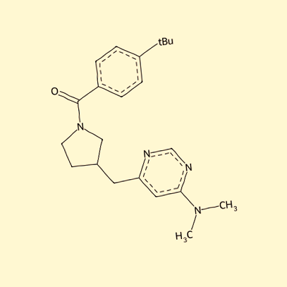 CN(C)c1cc(CC2CCN(C(=O)c3ccc(C(C)(C)C)cc3)C2)ncn1